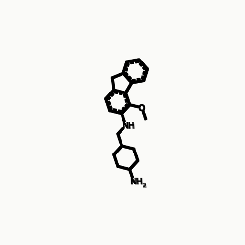 COc1c(NCC2CCC(N)CC2)ccc2c1-c1ccccc1C2